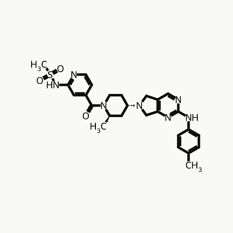 Cc1ccc(Nc2ncc3c(n2)CN([C@H]2CCN(C(=O)c4ccnc(NS(C)(=O)=O)c4)[C@H](C)C2)C3)cc1